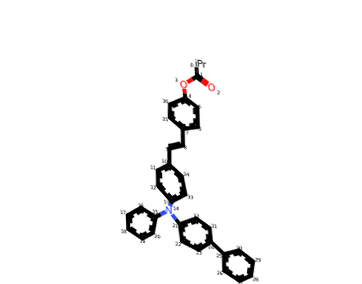 CC(C)C(=O)Oc1ccc(C=Cc2ccc(N(c3ccccc3)c3ccc(-c4ccccc4)cc3)cc2)cc1